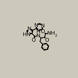 NC(=O)C(=O)C(Cc1ccccc1)NC(=O)c1[nH]cnc1-c1ccncn1